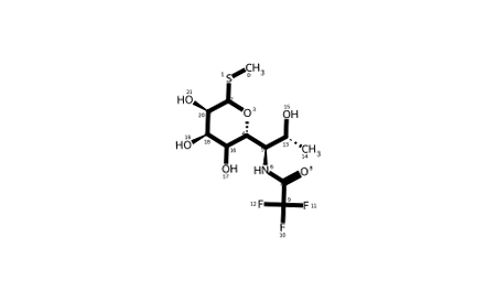 CSC1O[C@H]([C@H](NC(=O)C(F)(F)F)[C@@H](C)O)C(O)[C@@H](O)[C@H]1O